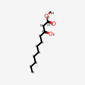 CCCCCCCCC(=O)CC(=O)OC